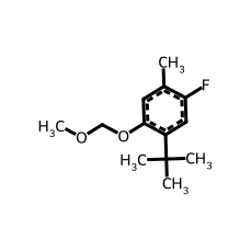 COCOc1cc(C)c(F)cc1C(C)(C)C